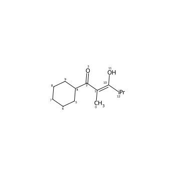 C/C(C(=O)C1CCCCC1)=C(/O)C(C)C